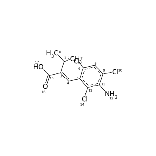 CC(C)/C(=C\c1c(Cl)cc(Cl)c(N)c1Cl)C(=O)O